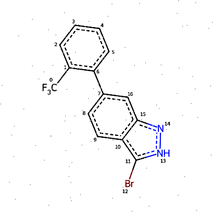 FC(F)(F)c1ccccc1-c1ccc2c(Br)[nH]nc2c1